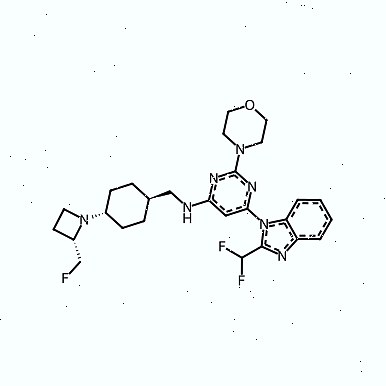 FC[C@@H]1CCN1[C@H]1CC[C@H](CNc2cc(-n3c(C(F)F)nc4ccccc43)nc(N3CCOCC3)n2)CC1